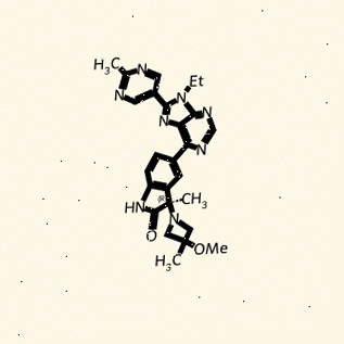 CCn1c(-c2cnc(C)nc2)nc2c(-c3ccc4c(c3)[C@@](C)(N3CC(C)(OC)C3)C(=O)N4)ncnc21